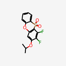 CC(C)Oc1cc2c(c(F)c1F)S(=O)(=O)c1ccccc1O2